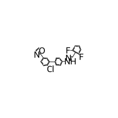 Fc1cccc(F)c1/C=N/Nc1ccc(-c2cc(-c3ncco3)ccc2Cl)cc1